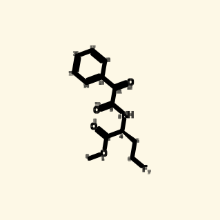 COC(=O)[C@H](CCF)NC(=O)C(=O)c1ccccc1